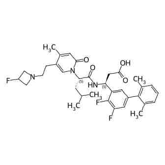 Cc1cc(=O)n([C@@H](CC(C)C)C(=O)N[C@@H](CC(=O)O)c2cc(-c3c(C)cccc3C)cc(F)c2F)cc1CCN1CC(F)C1